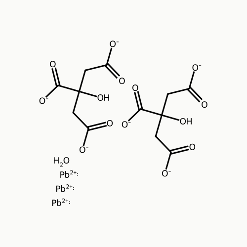 O.O=C([O-])CC(O)(CC(=O)[O-])C(=O)[O-].O=C([O-])CC(O)(CC(=O)[O-])C(=O)[O-].[Pb+2].[Pb+2].[Pb+2]